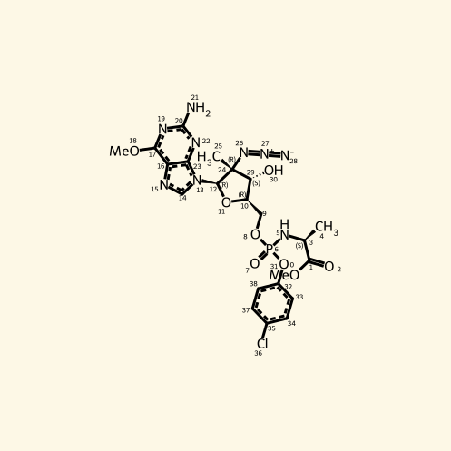 COC(=O)[C@H](C)NP(=O)(OC[C@H]1O[C@@H](n2cnc3c(OC)nc(N)nc32)[C@](C)(N=[N+]=[N-])[C@@H]1O)Oc1ccc(Cl)cc1